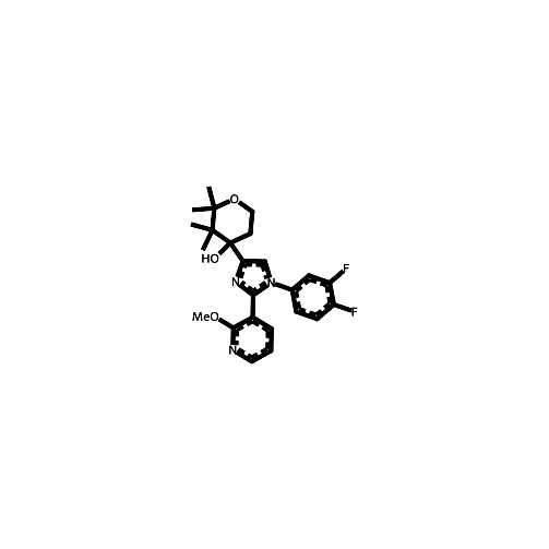 COc1ncccc1-c1nc(C2(O)CCOC(C)(C)C2(C)C)cn1-c1ccc(F)c(F)c1